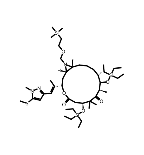 CC[Si](CC)(CC)OC1[C@@H](C)CCC[C@]2(C)[C@H](C[C@@H](/C(C)=C/c3cc(SC)n(C)n3)OC(=O)C[C@H](O[Si](CC)(CC)CC)C(C)(C)C(=O)[C@@H]1C)N2COCC[Si](C)(C)C